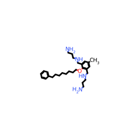 Cc1cc(CNCCCN)c(OCCCCCCCCc2ccccc2)c(CNCCCN)c1